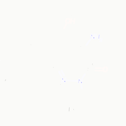 CCn1nc(-c2ccccc2)c(CO)c(N)c1=O